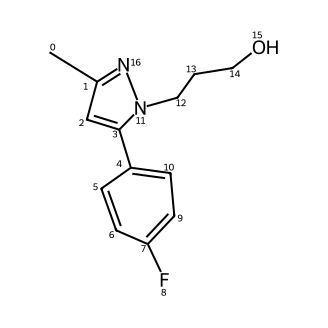 Cc1cc(-c2ccc(F)cc2)n(CCCO)n1